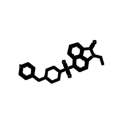 CCN1C(=O)c2cccc3c(S(=O)(=O)N4CCN(Cc5ccncc5)CC4)ccc1c23